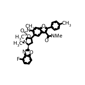 CNC(=O)c1c(-c2ccc(C)cc2)oc2cc(N(C)S(C)(=O)=O)c(C3C[C@@H](c4nc5c(F)cccc5o4)N(C)C3)cc12